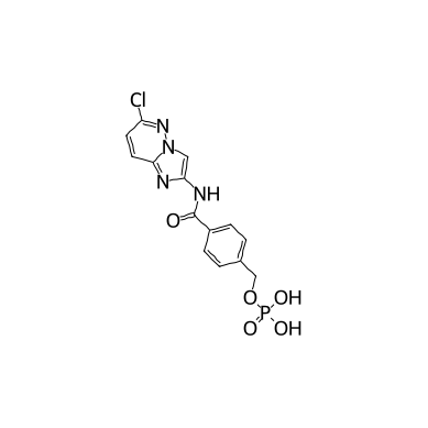 O=C(Nc1cn2nc(Cl)ccc2n1)c1ccc(COP(=O)(O)O)cc1